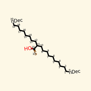 CCCCCCCCCCCCCCCCCCCCC(CCCCCCCCCCCCCCCCCC)C(O)=S